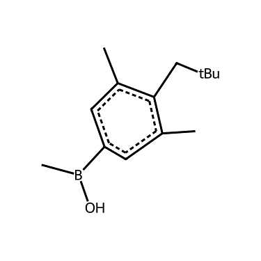 CB(O)c1cc(C)c(CC(C)(C)C)c(C)c1